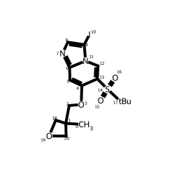 CC1(COc2cc3ncc(I)n3cc2S(=O)(=O)C(C)(C)C)COC1